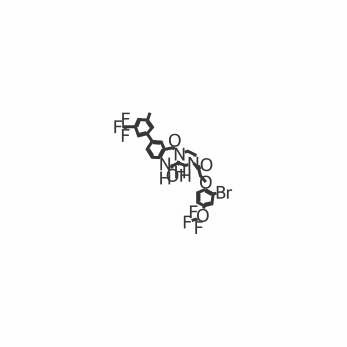 Cc1cc(-c2ccc3c(c2)C(=O)N2CCN(C(=O)COc4ccc(OC(F)(F)F)cc4Br)C[C@H]2C(O)N3)cc(C(F)(F)F)c1